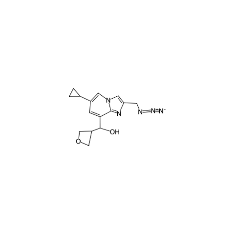 [N-]=[N+]=NCc1cn2cc(C3CC3)cc(C(O)C3COC3)c2n1